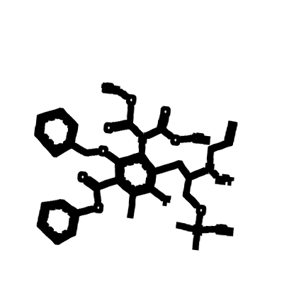 C=CCN(CCC)C(CO[Si](C)(C)C(C)(C)C)Cc1c(F)c(C)c(C(=O)Oc2ccccc2)c(OCc2ccccc2)c1N(C(=O)OC(C)(C)C)C(=O)OC(C)(C)C